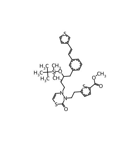 COC(=O)c1ccc(CCN2C(=O)SC=CN2CCC(Cc2cccc(C=Cc3ccsc3)c2)O[Si](C)(C)C(C)(C)C)s1